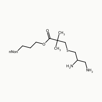 CCCCCCCCCCCCOC(=O)C(C)(C)CSCC(N)CN